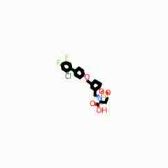 O=C(O)[C@@H]1CCS(=O)(=O)N1Cc1cccc(COc2ccc(-c3cc(F)c(F)cc3Cl)cc2)c1